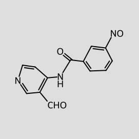 O=Cc1cnccc1NC(=O)c1cccc(N=O)c1